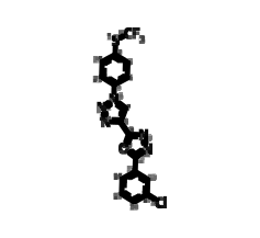 FC(F)(F)Sc1ccc(-n2cc(-c3nnc(-c4cccc(Cl)c4)o3)nn2)cc1